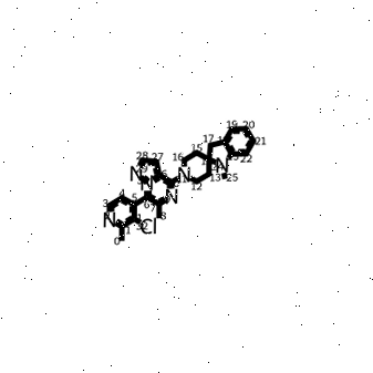 Cc1nccc(-c2c(C)nc(N3CCC4(CC3)Cc3ccccc3N4C)c3ccnn23)c1Cl